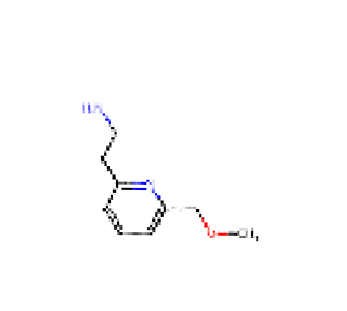 COCc1cccc(CCN)n1